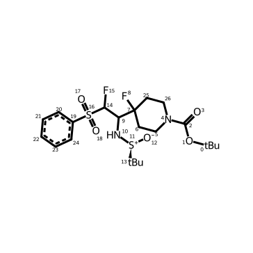 CC(C)(C)OC(=O)N1CCC(F)(C(N[S@@+]([O-])C(C)(C)C)C(F)S(=O)(=O)c2ccccc2)CC1